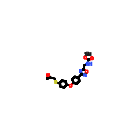 CC(C)(C)OC(=O)NCc1nc(-c2ccc(Oc3ccc(SCC4CO4)cc3)cc2)no1